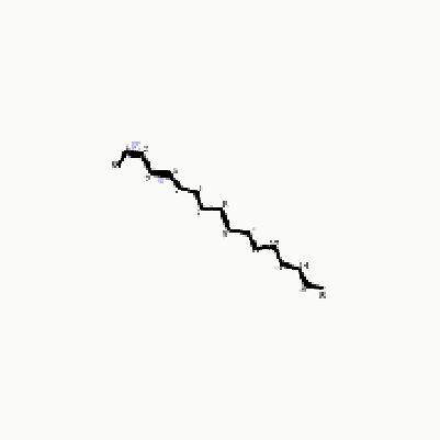 C/[C]=C\C=C\CCCCCCCCCCCC